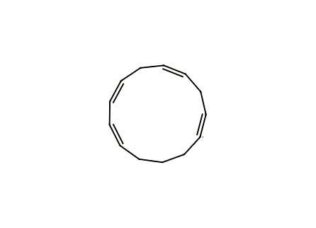 [C]1=CCC=CCC=CC=CCCC1